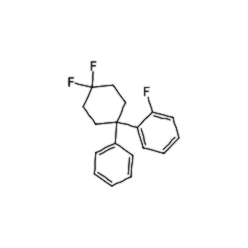 Fc1ccccc1C1(c2ccccc2)CCC(F)(F)CC1